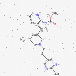 Cc1ncc(CCN2CC(c3cn(C(=O)OC(C)(C)C)c4ncccc34)=CC(C)C2)cn1